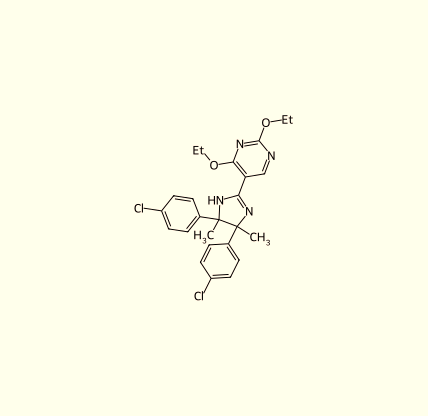 CCOc1ncc(C2=NC(C)(c3ccc(Cl)cc3)C(C)(c3ccc(Cl)cc3)N2)c(OCC)n1